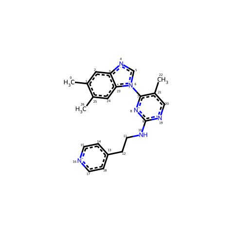 Cc1cc2ncn(-c3nc(NCCc4ccncc4)ncc3C)c2cc1C